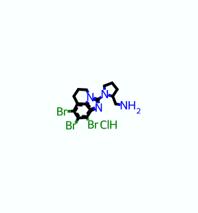 Cl.NCC1CCCN1c1nc2c(Br)c(Br)c(Br)c3c2n1CCC3